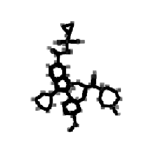 COc1ccc2c(c1)C=C(C(=O)N1CCCN(C)CC1)Cn1c-2c(C2CCCCC2)c2ccc(C(=O)NS(=O)(=O)C3CC3)cc21